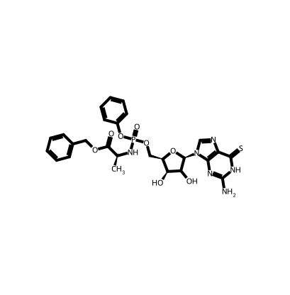 C[C@H](NP(=O)(OC[C@H]1O[C@@H](n2cnc3c(=S)[nH]c(N)nc32)C(O)[C@H]1O)Oc1ccccc1)C(=O)OCc1ccccc1